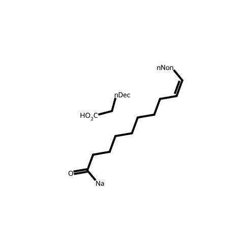 CCCCCCCCC/C=C\CCCCCCC[C](=O)[Na].CCCCCCCCCCCC(=O)O